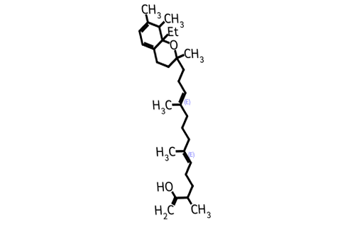 C=C(O)C(C)CC/C=C(\C)CCC/C(C)=C/CCC1(C)CCC2=CC=C(C)C(C)C2(CC)O1